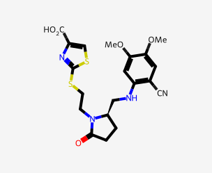 COc1cc(C#N)c(NC[C@H]2CCC(=O)N2CCSc2nc(C(=O)O)cs2)cc1OC